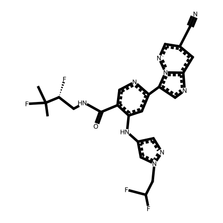 CC(C)(F)[C@H](F)CNC(=O)c1cnc(-c2cnc3cc(C#N)cnn23)cc1Nc1cnn(CC(F)F)c1